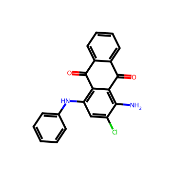 Nc1c(Cl)cc(Nc2ccccc2)c2c1C(=O)c1ccccc1C2=O